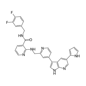 O=C(NCc1ccc(F)c(F)c1)c1cccnc1NCc1cc(-c2c[nH]c3ncc(-c4ccc[nH]4)cc23)ccn1